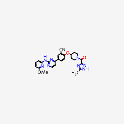 COc1cccc(Nc2nccc(-c3ccc(OC4CCN(C(=O)c5n[nH]c(C)n5)CC4)c(C#N)c3)n2)n1